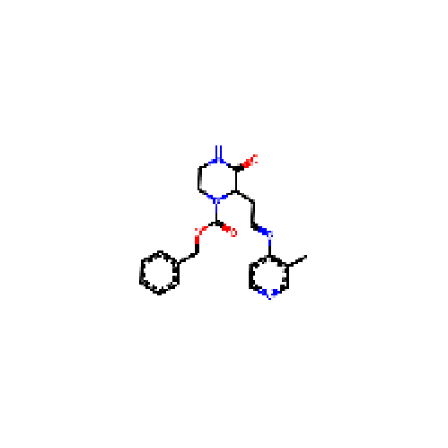 Cc1cnccc1N=CCC1C(=O)NCCN1C(=O)OCc1ccccc1